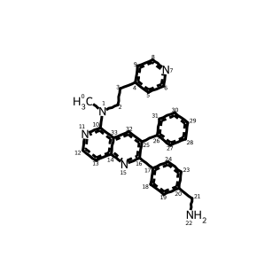 CN(CCc1ccncc1)c1nccc2nc(-c3ccc(CN)cc3)c(-c3ccccc3)cc12